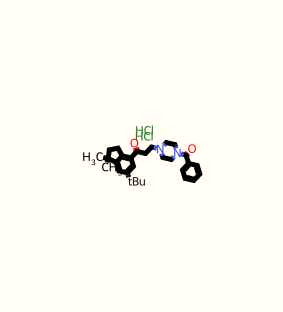 CC(C)(C)c1cc(C(=O)CCN2CCN(C(=O)c3ccccc3)CC2)c2c(c1)C(C)(C)CC2.Cl.Cl